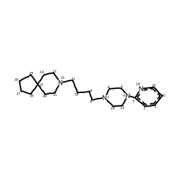 c1ccc(N2CCN(CCCCN3CCC4(CCCC4)CC3)CC2)nc1